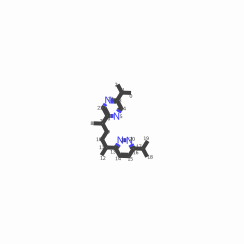 CC(C)c1cnc(C(C)CCC(C)c2ccc(C(C)C)nn2)cn1